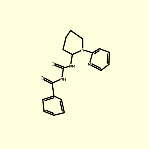 O=C(NC(=O)c1ccccc1)NC1CCCCN1c1ccccn1